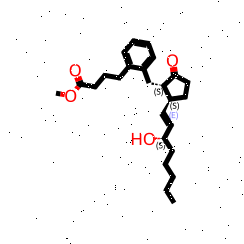 CCCCC[C@H](O)/C=C/[C@@H]1CCC(=O)[C@H]1Cc1ccccc1CCCC(=O)OC